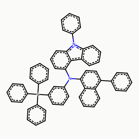 c1ccc(-c2ccc(N(c3cccc([Si](c4ccccc4)(c4ccccc4)c4ccccc4)c3)c3cccc4c3c3ccccc3n4-c3ccccc3)c3ccccc23)cc1